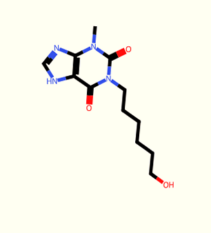 Cn1c(=O)n(CCCCCCO)c(=O)c2[nH]cnc21